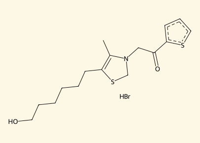 Br.CC1=C(CCCCCCO)SCN1CC(=O)c1cccs1